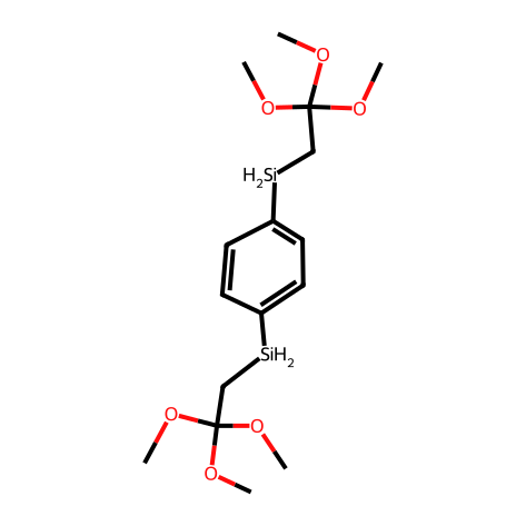 COC(C[SiH2]c1ccc([SiH2]CC(OC)(OC)OC)cc1)(OC)OC